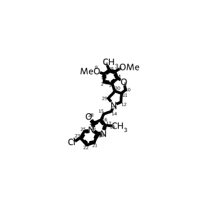 COc1cc2c(c(OC)c1C)OCC1CN(CCc3c(C)nc4ccc(Cl)cn4c3=O)CC21